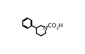 O=C(O)N1CCCC(c2ccccc2)C1